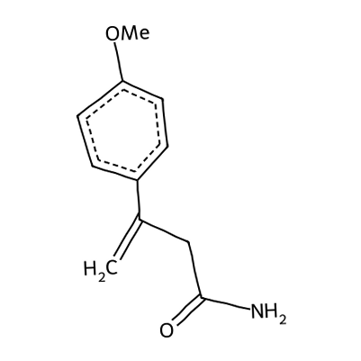 C=C(CC(N)=O)c1ccc(OC)cc1